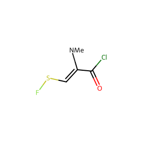 CN/C(=C\SF)C(=O)Cl